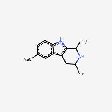 COc1ccc2[nH]c3c(c2c1)CC(C(F)(F)F)NC3C(=O)O